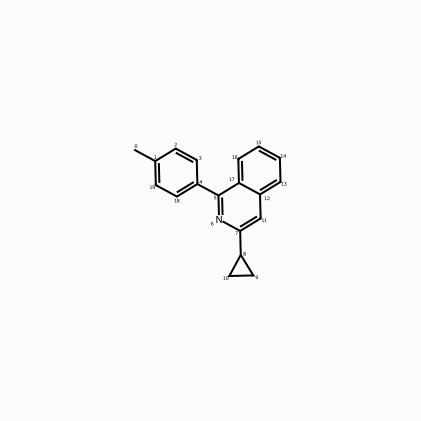 Cc1ccc(-c2nc(C3CC3)cc3ccccc23)cc1